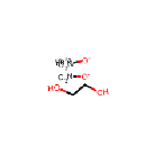 O=[N+]([O-])[O-].O=[N+]([O-])[O-].OCCO.[Pb+2]